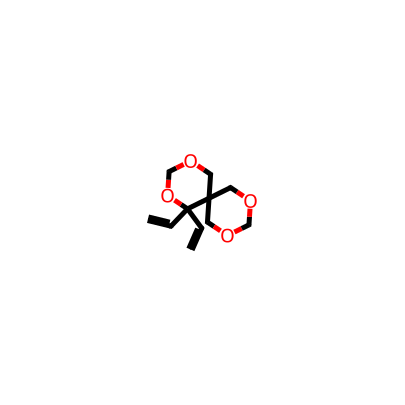 C=CC1(C=C)OCOCC12COCOC2